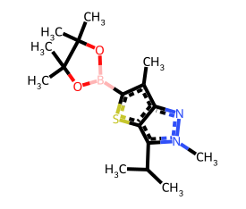 Cc1c(B2OC(C)(C)C(C)(C)O2)sc2c(C(C)C)n(C)nc12